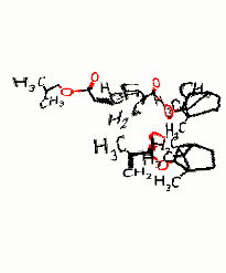 C=C(C)C(=O)OC1CC2CCC1(C)C2(C)C.C=C(C)C(=O)OC1CC2CCC1(C)C2(C)C.C=CC(=O)OCC(C)C